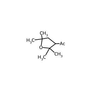 CC(=O)C1CC(C)(C)OC1(C)C